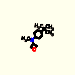 CN(C1CCC(C(C)(C)C)CC1)C1COC1